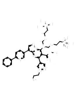 C=C(OCC)c1c(-c2cnn(CCOC(C)=O)c2)nc2c(-c3ccc(-c4ccccc4)nc3)cnn2c1N(COCC[Si](C)(C)C)COCC[Si](C)(C)C